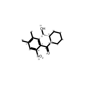 Cc1cc(C(=O)N2CCCC[C@H]2CO)c([N+](=O)[O-])cc1C